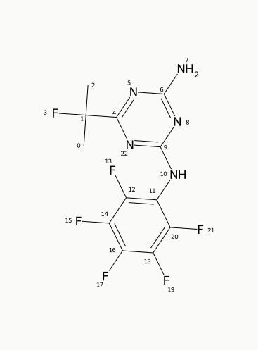 CC(C)(F)c1nc(N)nc(Nc2c(F)c(F)c(F)c(F)c2F)n1